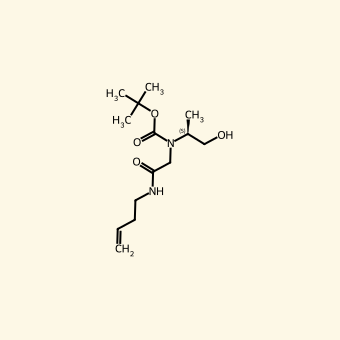 C=CCCNC(=O)CN(C(=O)OC(C)(C)C)[C@@H](C)CO